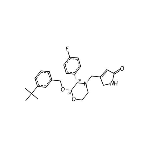 CC(C)(C)c1cccc(CO[C@H]2OCCN(CC3=CC(=O)NC3)[C@H]2c2ccc(F)cc2)c1